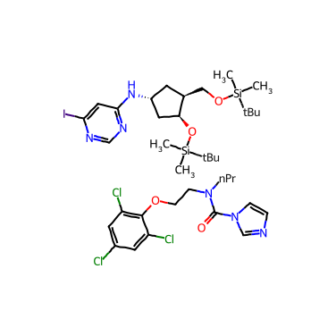 CC(C)(C)[Si](C)(C)OC[C@@H]1C[C@@H](Nc2cc(I)ncn2)C[C@@H]1O[Si](C)(C)C(C)(C)C.CCCN(CCOc1c(Cl)cc(Cl)cc1Cl)C(=O)n1ccnc1